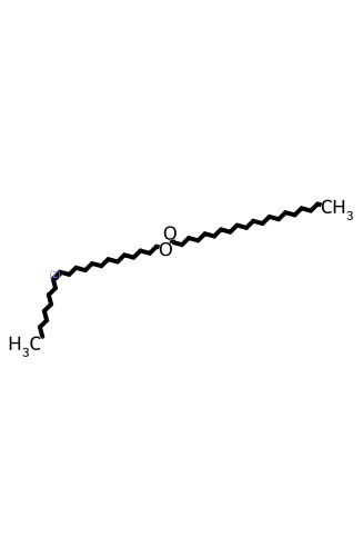 CCCCCCCC/C=C\CCCCCCCCCCCCOC(=O)CCCCCCCCCCCCCCCCCCC